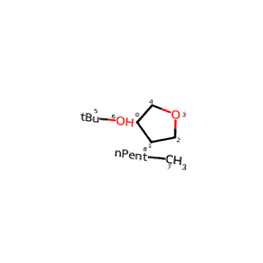 C1CCOC1.CC(C)(C)O.CCCCCC